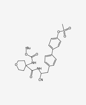 CC(C)(C)OC(=O)NC1(C(=O)NC(C#N)Cc2ccc(-c3ccc(OS(C)(=O)=O)cc3)cc2)CCOCC1